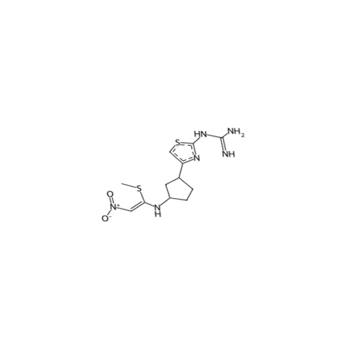 CSC(=C[N+](=O)[O-])NC1CCC(c2csc(NC(=N)N)n2)C1